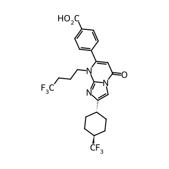 O=C(O)c1ccc(-c2cc(=O)n3cc([C@H]4CC[C@H](C(F)(F)F)CC4)nc3n2CCCC(F)(F)F)cc1